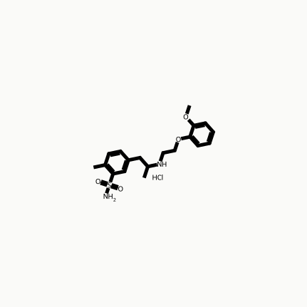 COc1ccccc1OCCNC(C)Cc1ccc(C)c(S(N)(=O)=O)c1.Cl